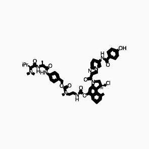 Cc1cccc2c(OC(=O)NCCN(C)C(=O)OCc3ccc(NC(=O)[C@H](C)NC(=O)[C@H](C(C)C)N(C)C)cc3)cc3c(c12)[C@H](CCl)CN3C(=O)c1cn2cc(NC(=O)c3ccc(O)cc3)ccc2n1